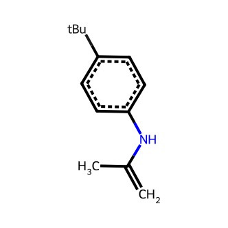 C=C(C)Nc1ccc(C(C)(C)C)cc1